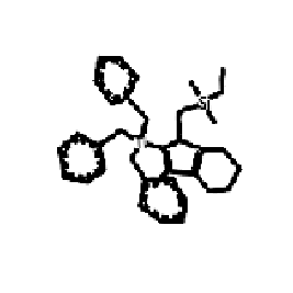 CC[Si](C)(C)CC1C2=C(CCCC2)C(C)=[C]1[Ti]([CH2]c1ccccc1)([CH2]c1ccccc1)[CH2]c1ccccc1